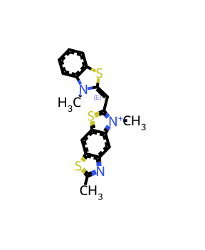 Cc1nc2cc3c(cc2s1)sc(/C=C1/Sc2ccccc2N1C)[n+]3C